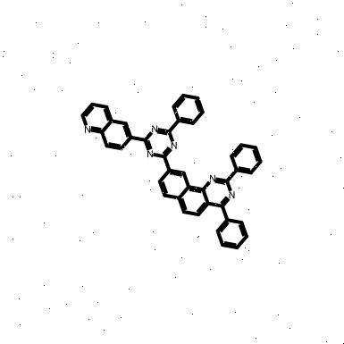 c1ccc(-c2nc(-c3ccc4ncccc4c3)nc(-c3ccc4ccc5c(-c6ccccc6)nc(-c6ccccc6)nc5c4c3)n2)cc1